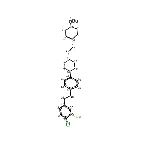 CCCC[C@H]1CC[C@H](CC[C@H]2CC[C@H](c3ccc(CCc4ccc(Cl)c(F)c4)cc3)CC2)CC1